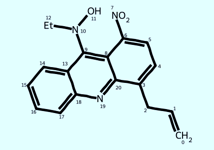 C=CCc1ccc([N+](=O)[O-])c2c(N(O)CC)c3ccccc3nc12